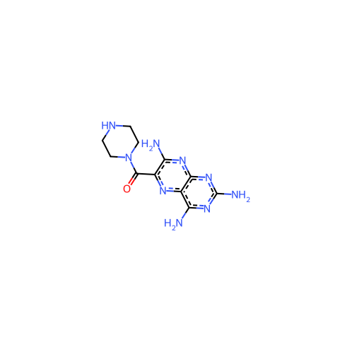 Nc1nc(N)c2nc(C(=O)N3CCNCC3)c(N)nc2n1